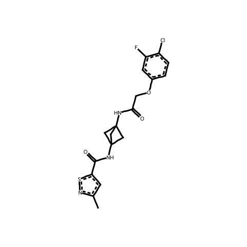 Cc1cc(C(=O)NC23CC(NC(=O)COc4ccc(Cl)c(F)c4)(C2)C3)sn1